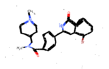 CN1CCC(N(C)C(=O)c2ccc(-c3cc4c(Br)cccc4c(=O)[nH]3)cc2)CC1